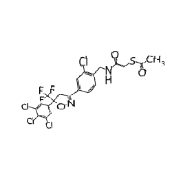 CC(=O)SCC(=O)NCc1ccc(C2=NOC(c3cc(Cl)c(Cl)c(Cl)c3)(C(F)(F)F)C2)cc1Cl